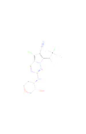 CC(c1c(C#N)c(Cl)c2cnc(N[C@@H]3CCOC[C@H]3O)nn12)C(C)(C)F